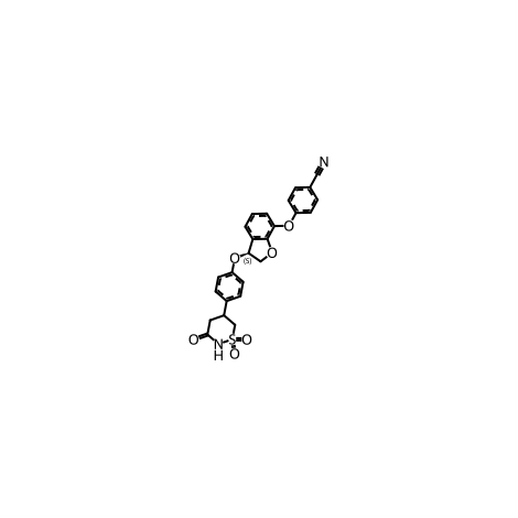 N#Cc1ccc(Oc2cccc3c2OC[C@H]3Oc2ccc(C3CC(=O)NS(=O)(=O)C3)cc2)cc1